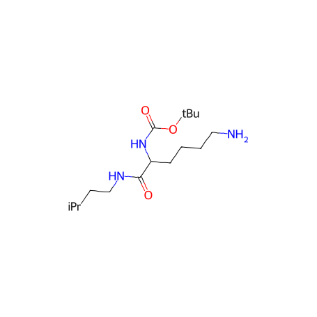 CC(C)CCNC(=O)C(CCCCN)NC(=O)OC(C)(C)C